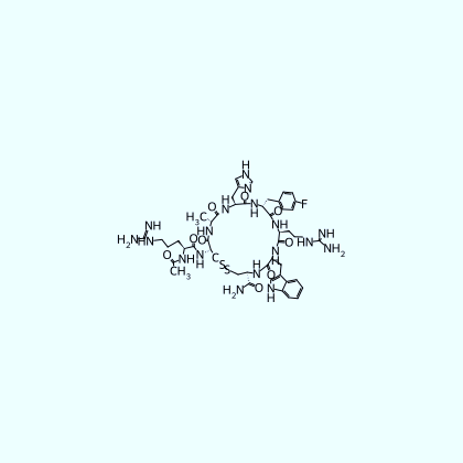 CC(=O)N[C@@H](CCCNC(=N)N)C(=O)N[C@H]1CSSC[C@@H](C(N)=O)NC(=O)[C@H](Cc2c[nH]c3ccccc23)NC(=O)[C@H](CCCNC(=N)N)NC(=O)[C@@H](Cc2ccc(F)cc2)NC(=O)[C@H](Cc2c[nH]cn2)NC(=O)[C@@H](C)NC1=O